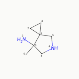 CC1(N)CNCC12CC2